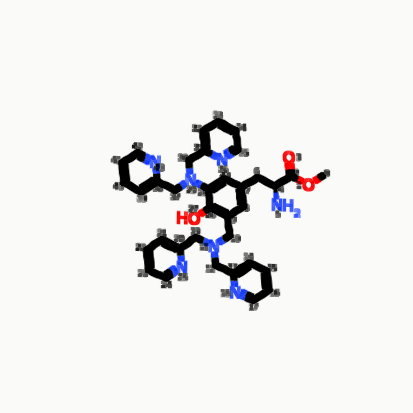 COC(=O)[C@@H](N)Cc1cc(CN(Cc2ccccn2)Cc2ccccn2)c(O)c(N(Cc2ccccn2)Cc2ccccn2)c1